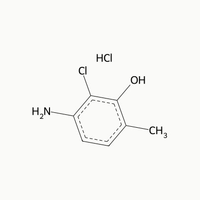 Cc1ccc(N)c(Cl)c1O.Cl